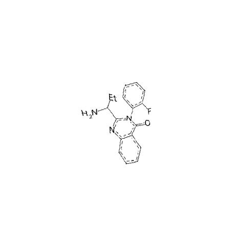 CCC(N)c1nc2ccccc2c(=O)n1-c1ccccc1F